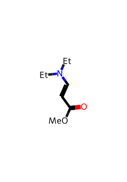 CCN(C=CC(=O)OC)CC